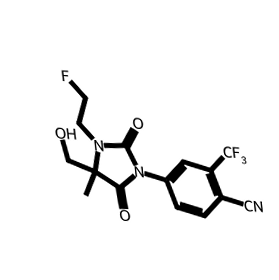 CC1(CO)C(=O)N(c2ccc(C#N)c(C(F)(F)F)c2)C(=O)N1CCF